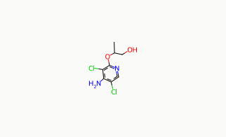 CC(CO)Oc1ncc(Cl)c(N)c1Cl